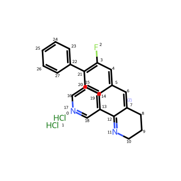 Cl.Cl.Fc1cc(/C=C2/CCCN=C2c2cccnc2)ccc1-c1ccccc1